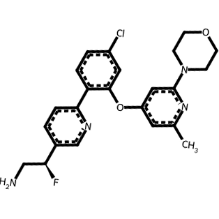 Cc1cc(Oc2cc(Cl)ccc2-c2ccc([C@@H](F)CN)cn2)cc(N2CCOCC2)n1